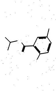 Cc1ccc(Cl)c(C(=O)OC(C)C)c1